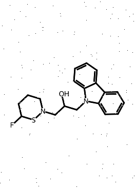 OC(CN1CCCC(F)S1)Cn1c2ccccc2c2ccccc21